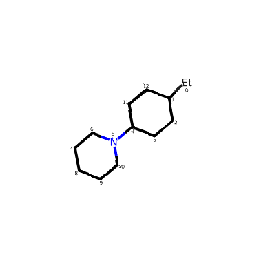 CCC1CCC(N2CCCCC2)CC1